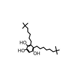 CC(C)(C)CCCCCCc1c(O)cc(O)c(O)c1CCCCCC(C)(C)C